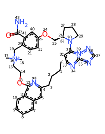 CCCCc1cc2ccccc2c(OCC[N+](C)(C)Cc2ccc(OC[C@H]3CCCN3c3ccnc4ncnn34)cc2C(N)=O)n1